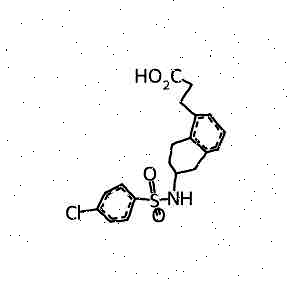 O=C(O)CCc1cccc2c1CCC(NS(=O)(=O)c1ccc(Cl)cc1)C2